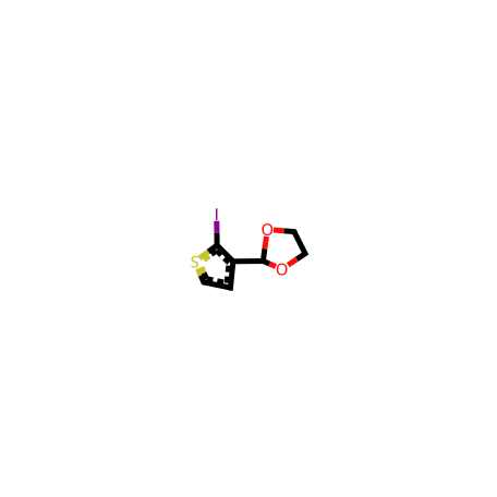 Ic1sccc1C1OCCO1